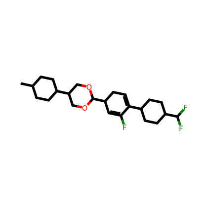 CC1CCC(C2COC(C3C=C(F)C(C4CCC(C(F)F)CC4)=CC3)OC2)CC1